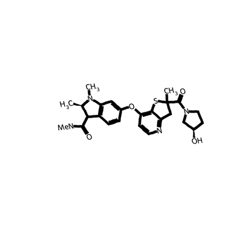 CNC(=O)C1c2ccc(Oc3ccnc4c3SC(C)(C(=O)N3CC[C@@H](O)C3)C4)cc2N(C)[C@@H]1C